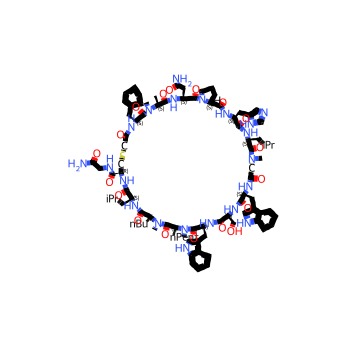 CCCCC[C@H]1C(=O)N(C)[C@@H](CCCC)C(=O)N[C@@H](CC(C)C)C(=O)N[C@H](C(=O)NCC(N)=O)CSCC(=O)N[C@@H](Cc2ccccc2)C(=O)N(C)[C@@H](C)C(=O)N[C@@H](CC(N)=O)C(=O)N2CCC[C@H]2C(=O)N[C@@H](Cc2cnc[nH]2)C(=O)N[C@@H](CC(C)C)C(=O)N(C)CC(=O)N[C@@H](Cc2c[nH]c3ccccc23)C(=O)N[C@@H](CO)C(=O)N[C@@H](Cc2c[nH]c3ccccc23)C(=O)N1C